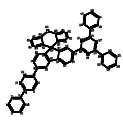 c1ccc(-c2ccc(-c3ccc4c(c3)-c3ccc(-c5nc(-c6ccccc6)nc(-c6ccccc6)n5)cc3C43c4ccccc4Oc4ccccc43)nn2)cc1